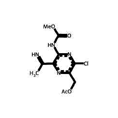 COC(=O)Nc1nc(Cl)c(COC(C)=O)nc1C(C)=N